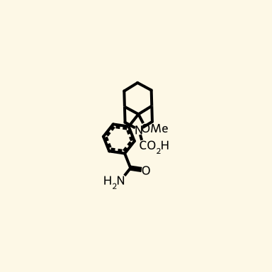 COC1(c2cccc(C(N)=O)c2)C2CCCC1CN(C(=O)O)C2